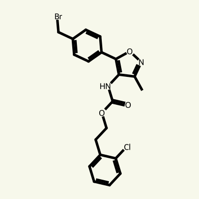 Cc1noc(-c2ccc(CBr)cc2)c1NC(=O)OCCc1ccccc1Cl